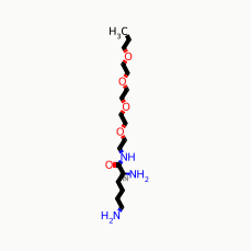 CCCOCCOCCOCCOCCNC(=O)[C@@H](N)CCCCN